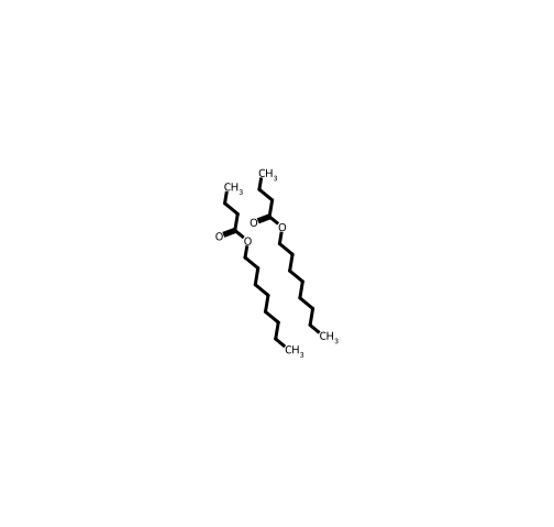 CCCCCCCCOC(=O)CCC.CCCCCCCCOC(=O)CCC